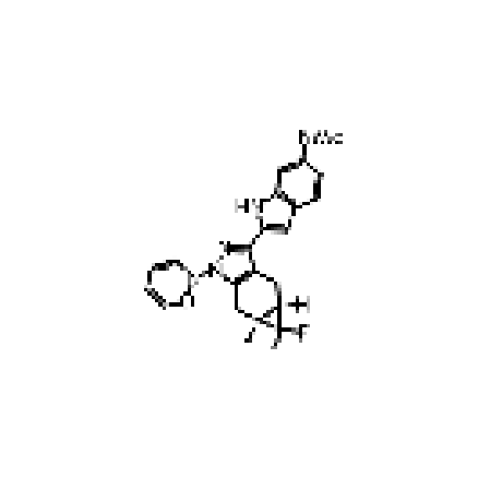 CNc1ccc2cc(-c3nn(N4C=CC=CO4)c4c3C[C@@H]3C(F)(F)[C@]3(C)C4)[nH]c2c1